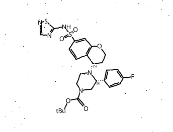 CC(C)(C)OC(=O)N1CCN([C@H]2CCOc3cc(S(=O)(=O)Nc4ncns4)ccc32)[C@H](c2ccc(F)cc2)C1